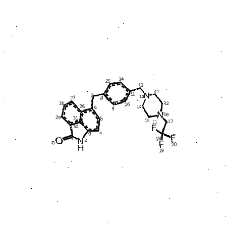 O=C1Nc2ccc(Cc3ccc(CN4CCN(CC(F)(F)F)CC4)cc3)c3cccc1c23